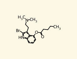 CCCCC(=O)Oc1cccc2[nH]c(Br)c(CCN(C)C)c12